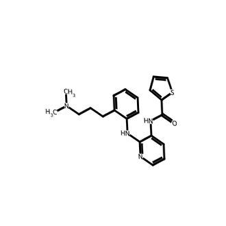 CN(C)CCCc1ccccc1Nc1ncccc1NC(=O)c1cccs1